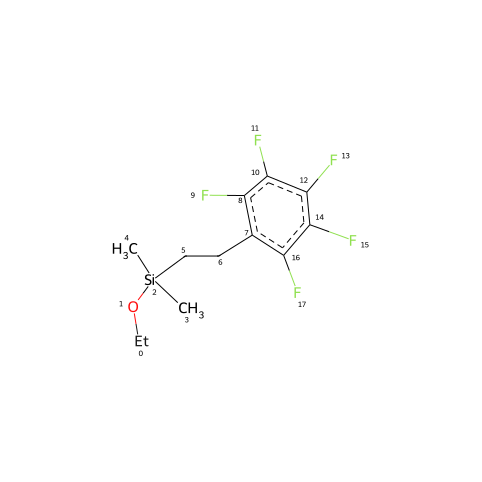 CCO[Si](C)(C)CCc1c(F)c(F)c(F)c(F)c1F